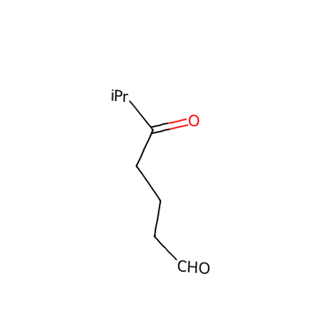 CC(C)C(=O)CCCC=O